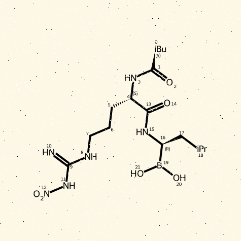 CC[C@H](C)C(=O)N[C@@H](CCCNC(=N)N[N+](=O)[O-])C(=O)N[C@@H](CC(C)C)B(O)O